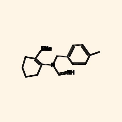 CSC1=C(N(C=N)Cc2ccc(C)cc2)CCCC1